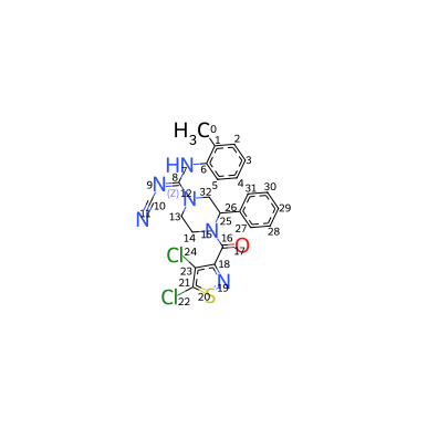 Cc1ccccc1N/C(=N/C#N)N1CCN(C(=O)c2nsc(Cl)c2Cl)C(c2ccccc2)C1